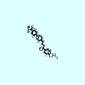 Cc1ccc(C(=O)CCC=C2CCN(c3ccc(C(F)(F)F)cc3)CC2)cn1